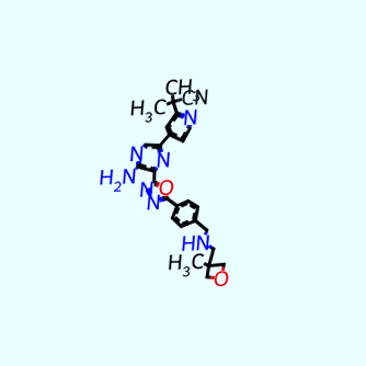 CC1(CNCc2ccc(-c3nnc(-c4nc(-c5ccnc(C(C)(C)C#N)c5)cnc4N)o3)cc2)COC1